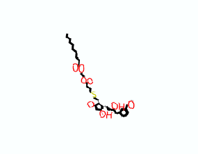 CCCCCCCCCC(=O)OCCOC(=O)CCCSCC[C@H]1C(=O)C[C@@H](O)[C@H]1/C=C/[C@@H](O)Cc1cccc(COC)c1